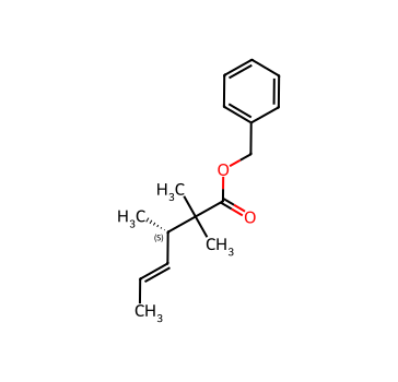 CC=C[C@H](C)C(C)(C)C(=O)OCc1ccccc1